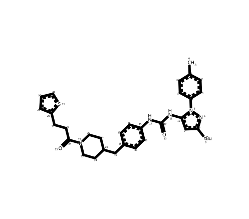 Cc1ccc(-n2nc(C(C)(C)C)cc2NC(=O)Nc2ccc(CC3CCN(C(=O)CCc4cccs4)CC3)cc2)cc1